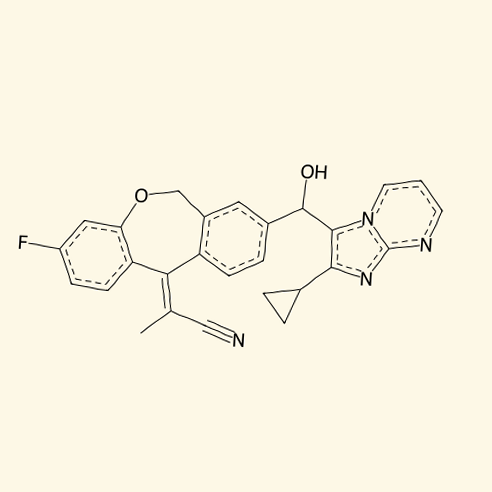 C/C(C#N)=C1/c2ccc(C(O)c3c(C4CC4)nc4ncccn34)cc2COc2cc(F)ccc21